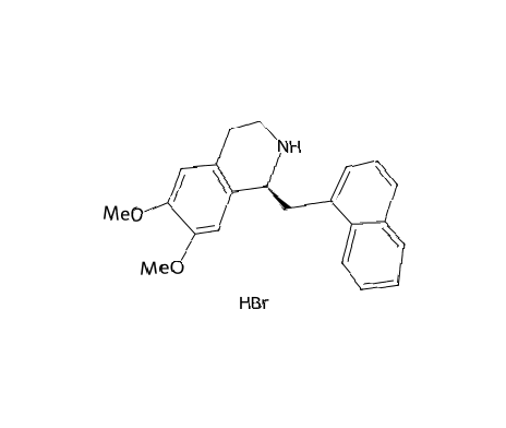 Br.COc1cc2c(cc1OC)[C@H](Cc1cccc3ccccc13)NCC2